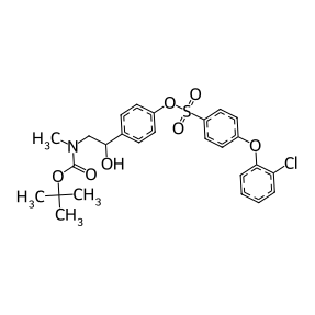 CN(CC(O)c1ccc(OS(=O)(=O)c2ccc(Oc3ccccc3Cl)cc2)cc1)C(=O)OC(C)(C)C